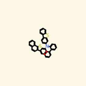 c1ccc(-c2ccccc2N(c2ccc3c(c2)sc2ccccc23)c2cccc3c2sc2c4ccccc4ccc32)cc1